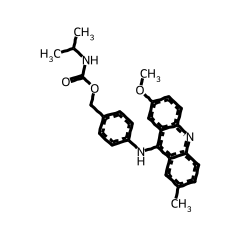 COc1ccc2nc3ccc(C)cc3c(Nc3ccc(COC(=O)NC(C)C)cc3)c2c1